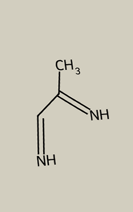 CC(=N)C=N